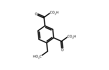 O=C(O)Cc1ccc(C(=O)C(=O)O)cc1C(=O)C(=O)O